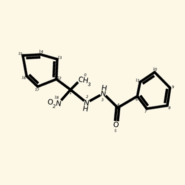 CC(NNC(=O)c1ccccc1)(c1ccccc1)[N+](=O)[O-]